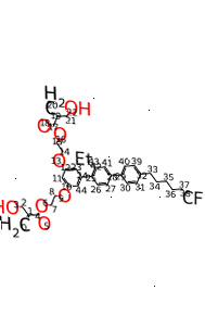 C=C(CO)C(=O)OCCOc1cc(OCCOC(=O)C(=C)CO)cc(-c2ccc(-c3ccc(CCCCCC(F)(F)F)cc3)cc2CC)c1